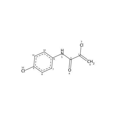 C=C(Cl)C(=O)Nc1ccc(Cl)cc1